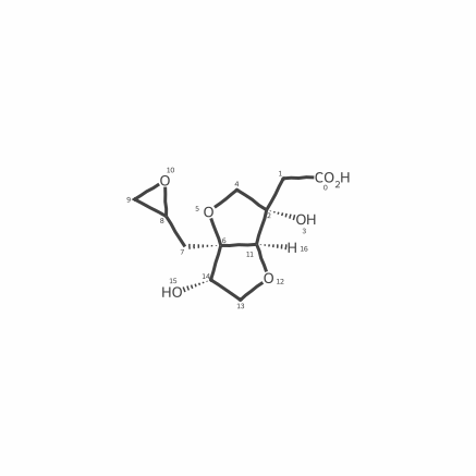 O=C(O)C[C@]1(O)CO[C@@]2(CC3CO3)[C@@H]1OC[C@@H]2O